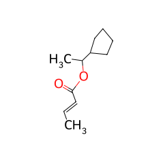 C/C=C/C(=O)OC(C)C1CCCC1